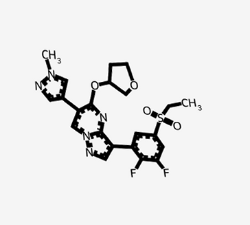 CCS(=O)(=O)c1cc(F)c(F)c(-c2cnn3cc(-c4cnn(C)c4)c(OC4CCOC4)nc23)c1